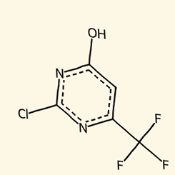 Oc1cc(C(F)(F)F)nc(Cl)n1